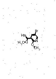 COC(=N)c1cc(Br)cnc1OC